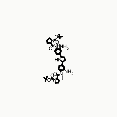 CC(C)(C)OC(=O)N1CCCC1C(=O)Nc1ccc(C2CCC(c3ccc(NC(=O)C4CCCN4C(=O)OC(C)(C)C)c(N)c3)N2)cc1N